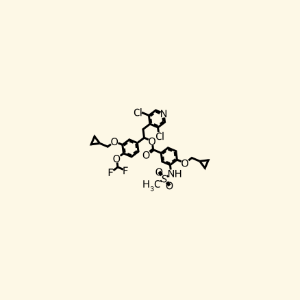 CS(=O)(=O)Nc1cc(C(=O)OC(Cc2c(Cl)cncc2Cl)c2ccc(OC(F)F)c(OCC3CC3)c2)ccc1OCC1CC1